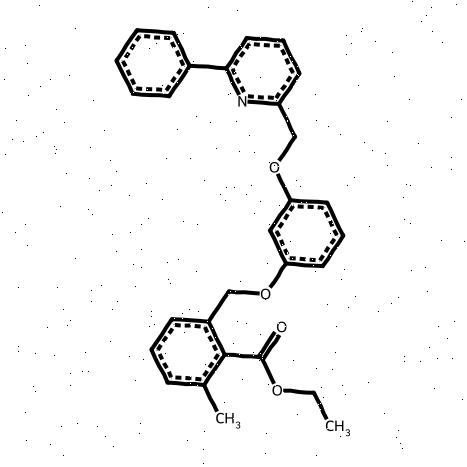 CCOC(=O)c1c(C)cccc1COc1cccc(OCc2cccc(-c3ccccc3)n2)c1